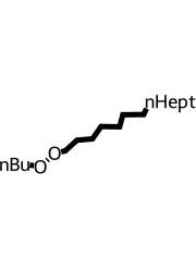 CCCCCCCCCCCCCCOOCCCC